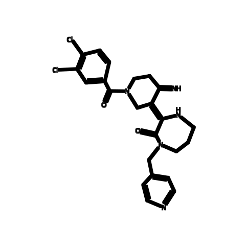 N=C1CCN(C(=O)c2ccc(Cl)c(Cl)c2)C/C1=C1/NCCCN(Cc2ccncc2)C1=O